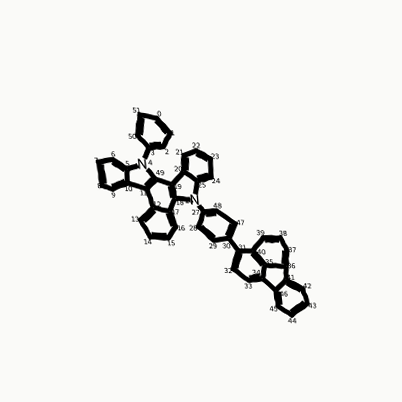 c1ccc(-n2c3ccccc3c3c4ccccc4c4c(c5ccccc5n4-c4ccc(-c5ccc6c7c(cccc57)-c5ccccc5-6)cc4)c32)cc1